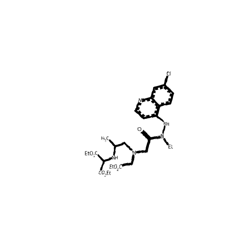 CCOC(=O)CN(CC(=O)N(CC)Nc1ccnc2cc(Cl)ccc12)CC(C)NC(C(=O)OCC)C(=O)OCC